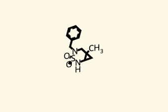 CC12CC1NS(=O)(=O)N(Cc1ccccc1)C2